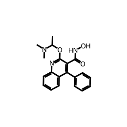 CC(Oc1nc2ccccc2c(-c2ccccc2)c1C(=O)NO)N(C)C